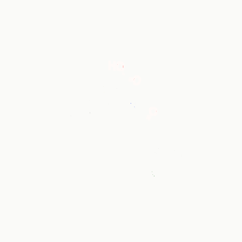 O=C(CNc1cc(-c2ccccc2)sc1C(=O)O)c1ccc(Cl)c(Cl)c1